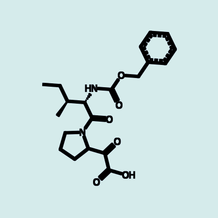 CC[C@H](C)[C@H](NC(=O)OCc1ccccc1)C(=O)N1CCCC1C(=O)C(=O)O